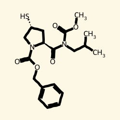 COC(=O)N(CC(C)C)C(=O)[C@@H]1C[C@@H](S)CN1C(=O)OCc1ccccc1